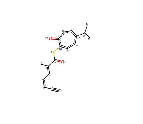 C#C/C=C\C=C(/C)C(=O)Sc1ccc(C(C)C)ccc1=O